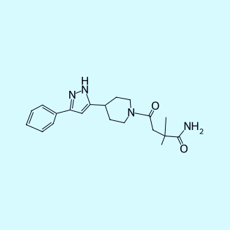 CC(C)(CC(=O)N1CCC(c2cc(-c3ccccc3)n[nH]2)CC1)C(N)=O